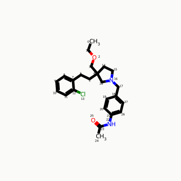 CCOCC1(CCc2ccccc2Cl)CCN(Cc2ccc(NC(C)=O)cc2)C1